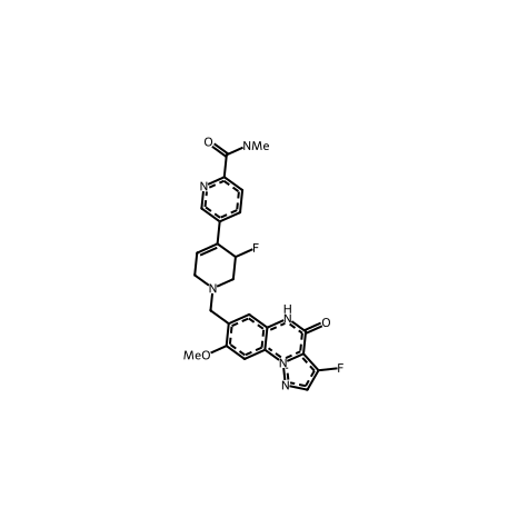 CNC(=O)c1ccc(C2=CCN(Cc3cc4[nH]c(=O)c5c(F)cnn5c4cc3OC)CC2F)cn1